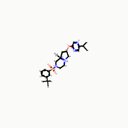 CC(C)c1cnc(O[C@@H]2C[C@H]3CN(S(=O)(=O)c4cccc(C(C)(C)C)c4)CCN3C2)cn1